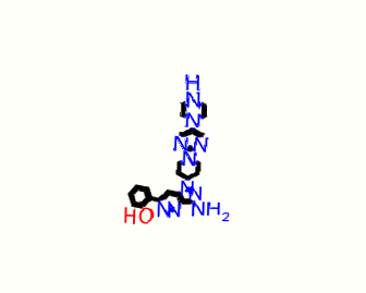 Nc1nn(C2CCN(c3ncc(N4CCNCC4)cn3)CC2)c2cc(-c3ccccc3O)nnc12